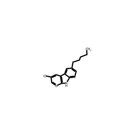 CCCCCc1ccc2[nH]c3ncc(Cl)cc3c2c1